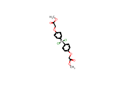 COC(=O)COc1ccc([Te](Cl)(Cl)c2ccc(OCC(=O)OC)cc2)cc1